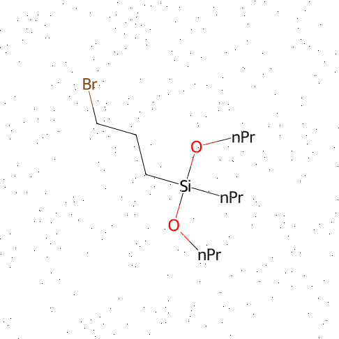 CCCO[Si](CCC)(CCCBr)OCCC